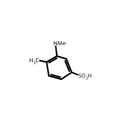 C[N]c1cc(S(=O)(=O)O)ccc1C